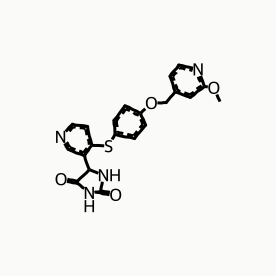 COc1cc(COc2ccc(Sc3ccncc3C3NC(=O)NC3=O)cc2)ccn1